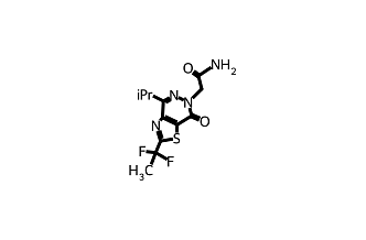 CC(C)c1nn(CC(N)=O)c(=O)c2sc(C(C)(F)F)nc12